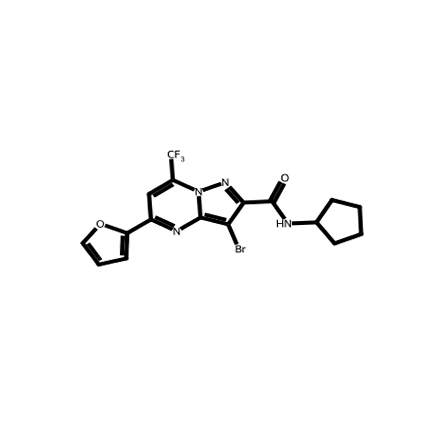 O=C(NC1CCCC1)c1nn2c(C(F)(F)F)cc(-c3ccco3)nc2c1Br